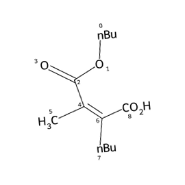 CCCCOC(=O)C(C)=C(CCCC)C(=O)O